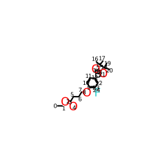 CCOC(=O)CCCOc1ccc(B2OC(C)(C)C(C)(C)O2)cc1F